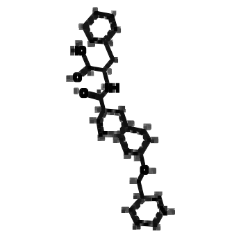 O=C(NC(Cc1ccccc1)C(=O)O)c1ccc2cc(OCc3cccnc3)ccc2c1